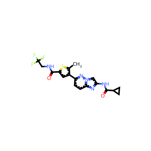 Cc1sc(C(=O)NCC(F)(F)F)cc1-c1ccc2nc(NC(=O)C3CC3)cn2n1